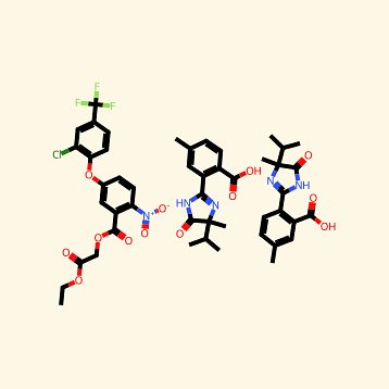 CCOC(=O)COC(=O)c1cc(Oc2ccc(C(F)(F)F)cc2Cl)ccc1[N+](=O)[O-].Cc1ccc(C(=O)O)c(C2=NC(C)(C(C)C)C(=O)N2)c1.Cc1ccc(C2=NC(C)(C(C)C)C(=O)N2)c(C(=O)O)c1